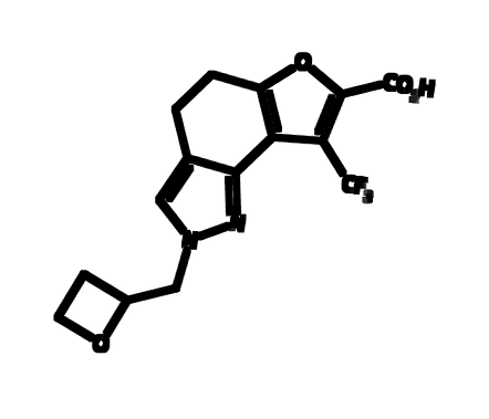 O=C(O)c1oc2c(c1C(F)(F)F)-c1nn(CC3CCO3)cc1CC2